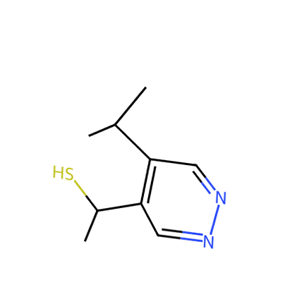 CC(C)c1cnncc1C(C)S